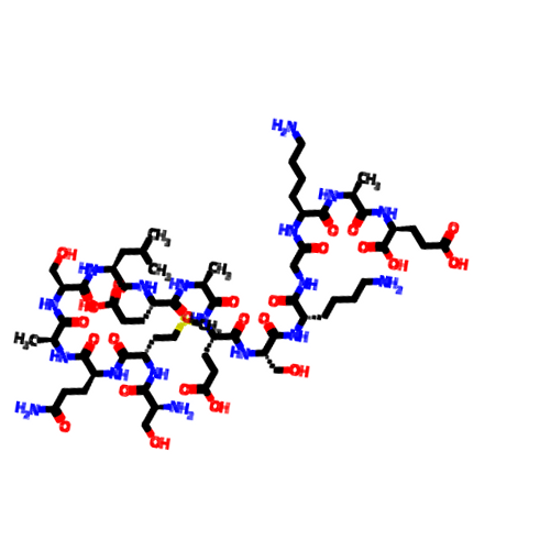 CSCC[C@H](NC(=O)[C@@H](N)CO)C(=O)N[C@@H](CCC(N)=O)C(=O)N[C@@H](C)C(=O)N[C@@H](CO)C(=O)N[C@@H](CC(C)C)C(=O)N[C@@H](CCC(=O)O)C(=O)N[C@@H](C)C(=O)N[C@@H](CCC(=O)O)C(=O)N[C@@H](CO)C(=O)N[C@@H](CCCCN)C(=O)NCC(=O)N[C@@H](CCCCN)C(=O)N[C@@H](C)C(=O)N[C@@H](CCC(=O)O)C(=O)O